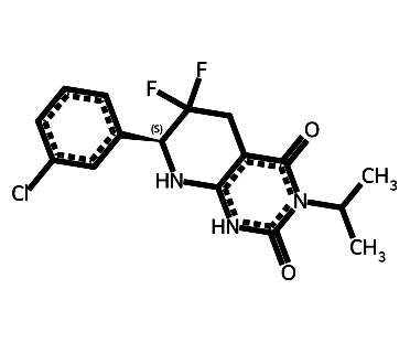 CC(C)n1c(=O)[nH]c2c(c1=O)CC(F)(F)[C@H](c1cccc(Cl)c1)N2